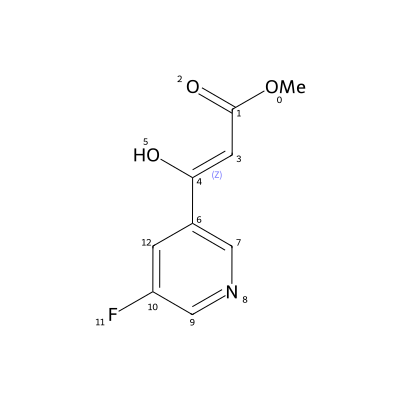 COC(=O)/C=C(\O)c1cncc(F)c1